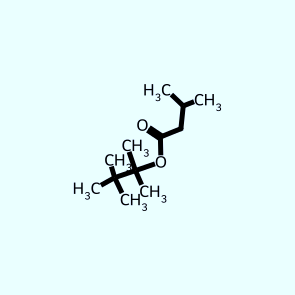 CC(C)CC(=O)OC(C)(C)C(C)(C)C